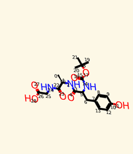 C[C@@H](NC(=O)C(Cc1ccc(O)cc1)NC(=O)OC(C)(C)C)C(=O)NCC(=O)O